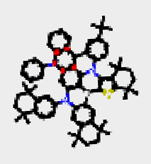 CC(C)(C)c1ccc(N2c3cc(N(c4ccccc4)c4ccccc4)cc4c3B(c3cc5c(cc3N4c3ccc4c(c3)C(C)(C)CCC4(C)C)C(C)(C)CCC5(C)C)c3sc4c(c32)C(C)(C)CCC4(C)C)c(-c2ccccc2)c1